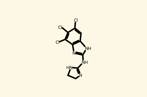 Clc1cc2[nH]c(NC3=NCCN3)nc2c(Cl)c1Cl